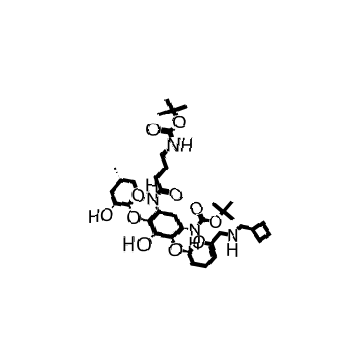 C[C@@H]1CO[C@H](O[C@@H]2[C@@H](O)[C@H](O[C@@H]3CCC=C(CNCC4CCC4)O3)[C@@H](NC(=O)OC(C)(C)C)C[C@H]2NC(=O)CCCNC(=O)OC(C)(C)C)[C@H](O)C1